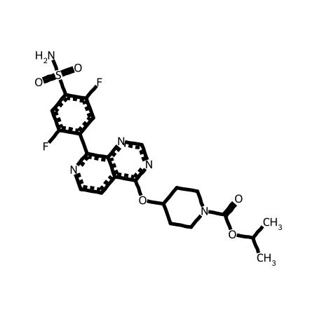 CC(C)OC(=O)N1CCC(Oc2ncnc3c(-c4cc(F)c(S(N)(=O)=O)cc4F)nccc23)CC1